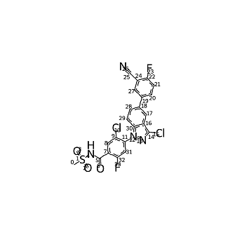 CS(=O)(=O)NC(=O)c1cc(Cl)c(-n2nc(Cl)c3cc(-c4ccc(F)c(C#N)c4)ccc32)cc1F